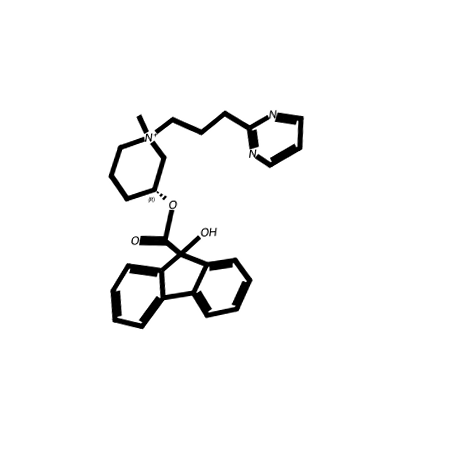 C[N+]1(CCCc2ncccn2)CCC[C@@H](OC(=O)C2(O)c3ccccc3-c3ccccc32)C1